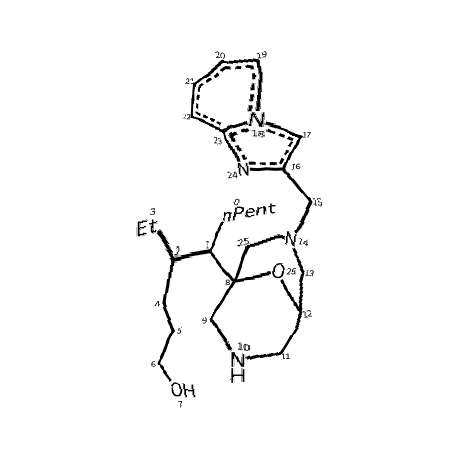 CCCCCC(C(CC)CCCO)C12CNCC(CN(Cc3cn4ccccc4n3)C1)O2